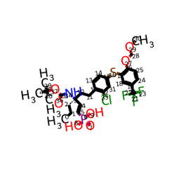 CCC[C@@](C=CP(=O)(O)O)(CCc1ccc(Sc2cc(C(F)(F)F)ccc2OCOC)cc1Cl)NC(=O)OC(C)(C)C